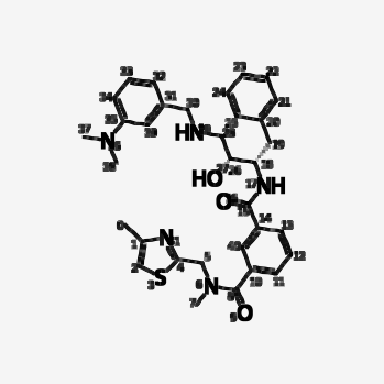 Cc1csc(CN(C)C(=O)c2cccc(C(=O)N[C@@H](Cc3ccccc3)[C@H](O)CNCc3cccc(N(C)C)c3)c2)n1